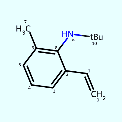 C=Cc1cccc(C)c1NC(C)(C)C